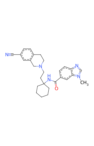 Cn1cnc2ccc(C(=O)NC3(CCN4CCc5ccc(C#N)cc5C4)CCCCC3)cc21